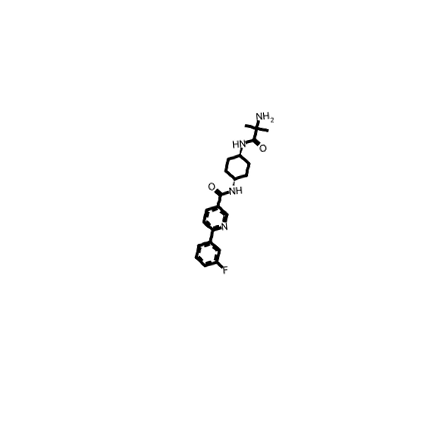 CC(C)(N)C(=O)N[C@H]1CC[C@H](NC(=O)c2ccc(-c3cccc(F)c3)nc2)CC1